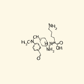 CN(C)c1ccc(C=O)cc1.NC1CCCCC1.NCCCC[C@H](N)C(=O)O